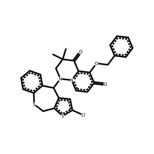 CC1(C)CN(C2c3ccccc3SCc3sc(Cl)cc32)n2ccc(=O)c(OCc3ccccc3)c2C1=O